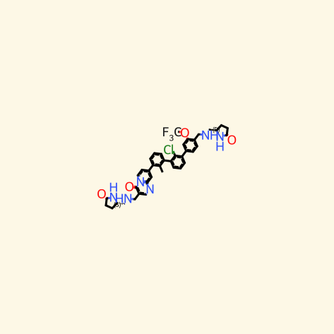 Cc1c(-c2ccn3c(=O)c(CNC[C@@H]4CCC(=O)N4)cnc3c2)cccc1-c1cccc(-c2ccc(CNC[C@H]3CCC(=O)N3)c(OC(F)(F)F)c2)c1Cl